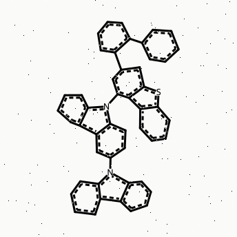 c1ccc(-c2ccccc2-c2cc(-n3c4ccccc4c4cc(-n5c6ccccc6c6ccccc65)ccc43)c3c(c2)sc2ccccc23)cc1